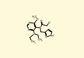 CCN(CC)c1ncnc(OC)c1N(Cc1cc[nH]n1)C(=O)CCl